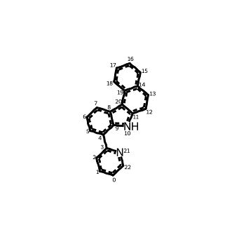 c1ccc(-c2cccc3c2[nH]c2ccc4ccccc4c23)nc1